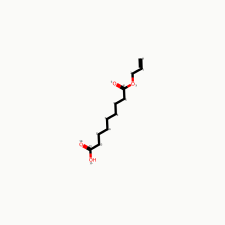 C=CCOC(=O)CCCCCCCC(=O)O